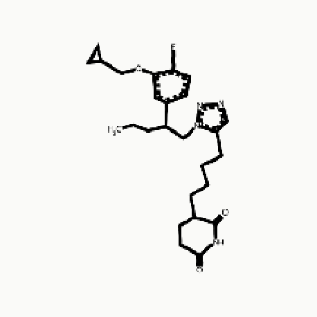 CCCC(Cn1nncc1CCCCC1CCC(=O)NC1=O)c1ccc(F)c(OCC2CC2)c1